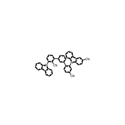 N#Cc1ccc(-c2cccc(-c3cccc(-n4c5ccccc5c5ccccc54)c3C#N)c2)c(-n2c3ccccc3c3cc(C#N)ccc32)c1